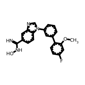 COc1cc(F)ccc1-c1cccc(-n2cnc3cc(C(=N)NO)ccc32)c1